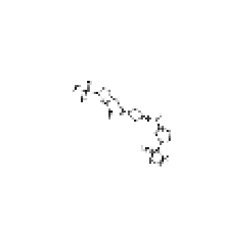 O=C(N1CC(OCc2ccc(C(F)(F)F)cc2F)C1)N1CCC(c2ncn[nH]2)C1